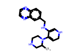 FC(F)(F)C1CNCCN1C1=CCNC=C1NCc1ccc2nccnc2c1